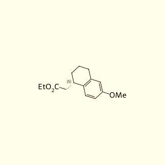 CCOC(=O)C[C@@H]1CCCc2cc(OC)ccc21